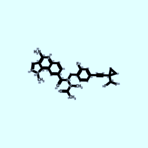 CC(=O)N(C)N(Cc1ccc(C#CC2(C(F)F)CC2)cc1F)C(=O)c1ccc2nc(N)c3cnn(C)c3c2c1